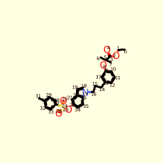 CCOC(=O)C(C)(C)Oc1cccc(CCCn2ccc3cc(OS(=O)(=O)c4ccc(C)cc4)ccc32)c1